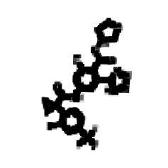 O=C(O[C@H]1CCOC1)c1c(F)cc(NC(=O)C2(c3ccc(C(F)(F)F)cc3F)CC2)cc1-c1nnn[nH]1